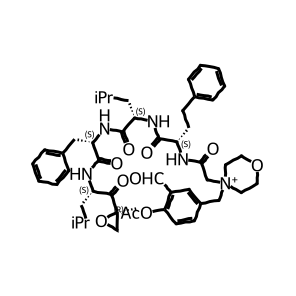 CC(=O)Oc1ccc(C[N+]2(CC(=O)N[C@@H](CCc3ccccc3)C(=O)N[C@@H](CC(C)C)C(=O)N[C@@H](Cc3ccccc3)C(=O)N[C@@H](CC(C)C)C(=O)[C@@]3(C)CO3)CCOCC2)cc1C=O